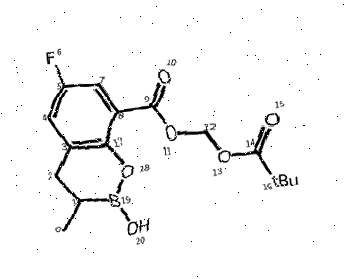 CC1Cc2cc(F)cc(C(=O)OCOC(=O)C(C)(C)C)c2OB1O